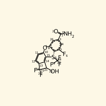 NC(=O)c1cc(F)cc(OC2=C=C=C3C(=C2SC(F)(F)F)C(O)C3(F)F)c1